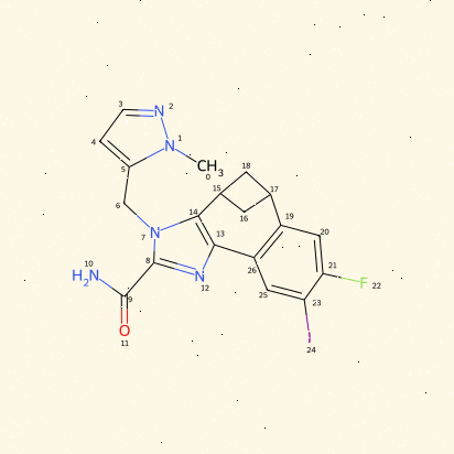 Cn1nccc1Cn1c(C(N)=O)nc2c1C1CC(C1)c1cc(F)c(I)cc1-2